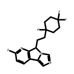 Fc1ccc2c(n1)C(CCC1(F)CCC(F)(F)CC1)n1cncc1-2